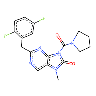 Cn1c(=O)n(C(=O)N2CCCC2)c2nc(Cc3cc(F)ccc3F)ncc21